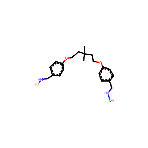 CC(C)(CCOc1ccc(CNO)cc1)CCOc1ccc(CNO)cc1